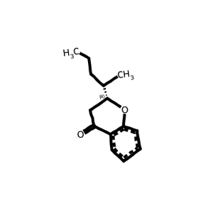 CCCC(C)[C@H]1CC(=O)c2ccccc2O1